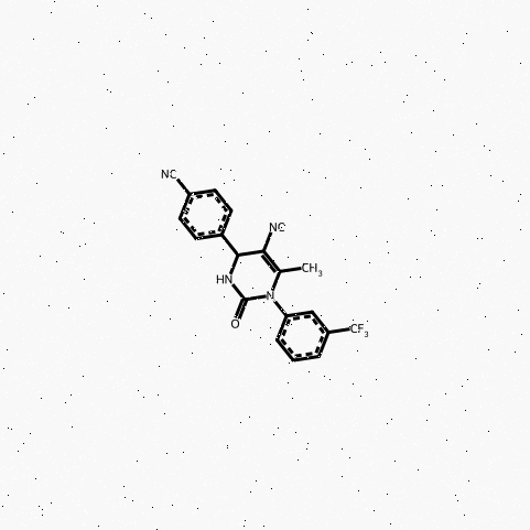 [C-]#[N+]C1=C(C)N(c2cccc(C(F)(F)F)c2)C(=O)NC1c1ccc(C#N)cc1